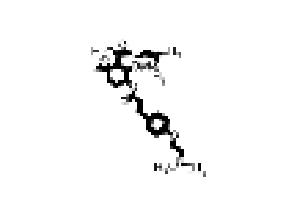 COC1C(OC(=O)/C=C/c2ccc(OCCN(C)C)cc2)CC[C@]2(CO2)C1C1(C)O[C@@H]1CC=C(C)C